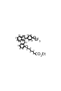 CCOC(=O)CCCCCOc1ccccc1Cn1c(-c2ccc(OC(F)(F)F)cc2)nc2cccnc21